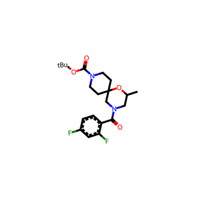 CC1CN(C(=O)c2ccc(F)cc2F)CC2(CCN(C(=O)OC(C)(C)C)CC2)O1